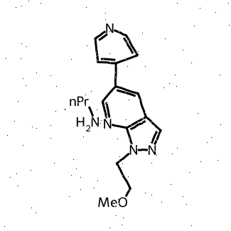 CCCN.COCCn1ncc2cc(-c3ccncc3)cnc21